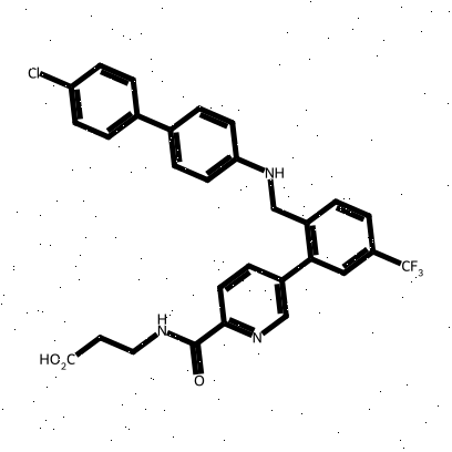 O=C(O)CCNC(=O)c1ccc(-c2cc(C(F)(F)F)ccc2CNc2ccc(-c3ccc(Cl)cc3)cc2)cn1